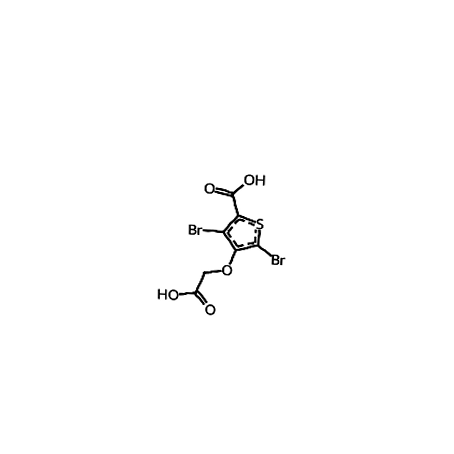 O=C(O)COc1c(Br)sc(C(=O)O)c1Br